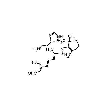 CC1=C(/C=C/C(C)=C/C=C/C(C)=C/C=O)C(C)(C)CCC1.NCCc1c[nH]cn1